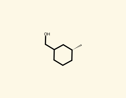 C[C@@H]1CCCC(CO)C1